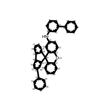 c1ccc(-c2cccc(Nc3ccc4c(c3)C3(c5ccccc5O4)c4ccccc4-c4ccc(-c5ccccc5)cc43)c2)cc1